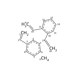 C.C=Cc1ccccc1.C=Cc1ccccc1C=C